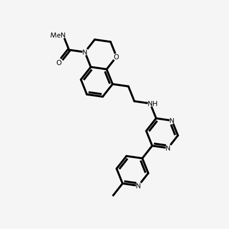 CNC(=O)N1CCOc2c(CCNc3cc(-c4ccc(C)nc4)ncn3)cccc21